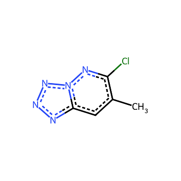 Cc1cc2nnnn2nc1Cl